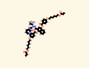 C=CC(=O)OCCCCCCOc1ccc(C(=O)Oc2cc(/C=N/N(CCCCCCCCCCCC)c3nc4cccnc4s3)c(OC(=O)c3ccc(OCCCCCCOC(=O)C=C)cc3)c3ccccc23)cc1